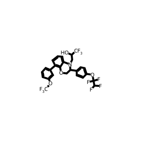 OC(CN1c2cccc(-c3cccc(OC(F)(F)F)c3)c2OCC1c1ccc(OC(F)(F)C(F)F)cc1)C(F)(F)F